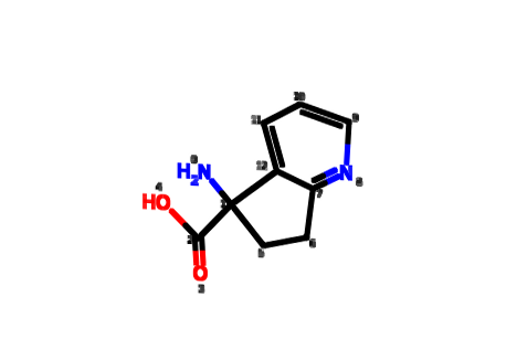 NC1(C(=O)O)CCc2ncccc21